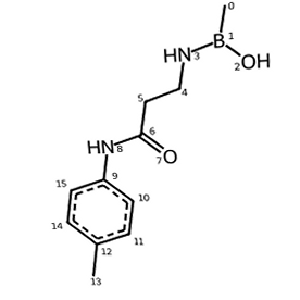 CB(O)NCCC(=O)Nc1ccc(C)cc1